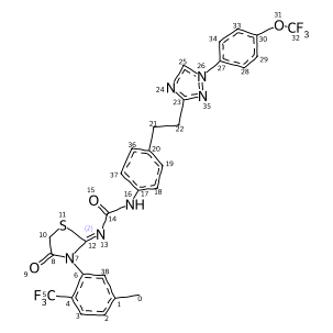 Cc1ccc(C(F)(F)F)c(N2C(=O)CS/C2=N\C(=O)Nc2ccc(CCc3ncn(-c4ccc(OC(F)(F)F)cc4)n3)cc2)c1